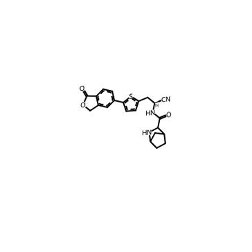 N#C[C@H](Cc1ccc(-c2ccc3c(c2)COC3=O)s1)NC(=O)C1NC2CCC1C2